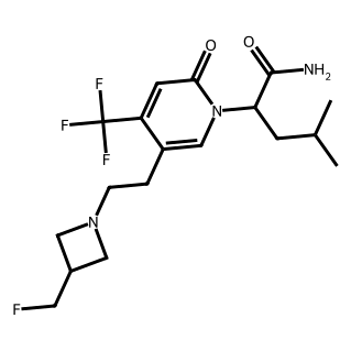 CC(C)CC(C(N)=O)n1cc(CCN2CC(CF)C2)c(C(F)(F)F)cc1=O